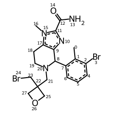 Cc1c(Br)cccc1C1c2nc(C(N)=O)n(C)c2CCN1CC1(CBr)COC1